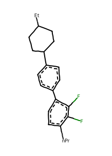 CCCc1ccc(-c2ccc(C3CCC(CC)CC3)cc2)c(F)c1F